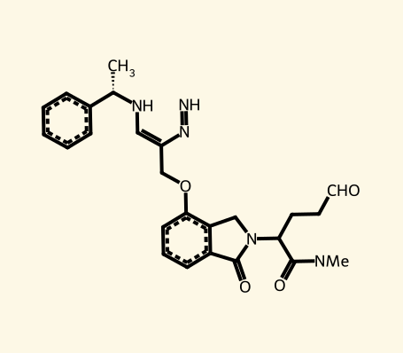 CNC(=O)C(CCC=O)N1Cc2c(OC/C(=C/N[C@@H](C)c3ccccc3)N=N)cccc2C1=O